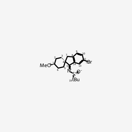 CO[C@H]1CC[C@]2(CC1)Cc1ccc(Br)cc1C2=N[S+]([O-])C(C)(C)C